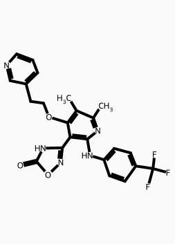 Cc1nc(Nc2ccc(C(F)(F)F)cc2)c(-c2noc(=O)[nH]2)c(OCCc2cccnc2)c1C